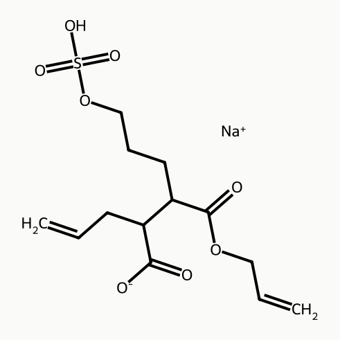 C=CCOC(=O)C(CCCOS(=O)(=O)O)C(CC=C)C(=O)[O-].[Na+]